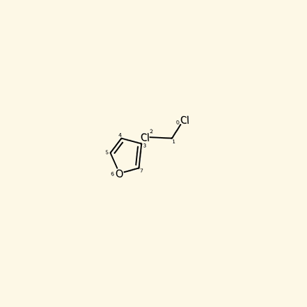 ClCCl.c1ccoc1